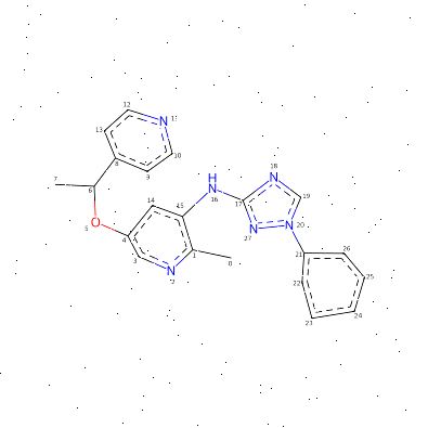 Cc1ncc(OC(C)c2ccncc2)cc1Nc1ncn(-c2ccccc2)n1